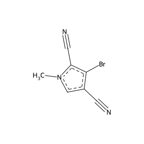 Cn1cc(C#N)c(Br)c1C#N